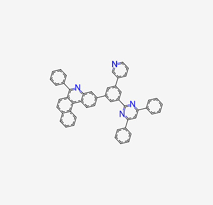 c1ccc(-c2cc(-c3ccccc3)nc(-c3cc(-c4cccnc4)cc(-c4ccc5c(c4)nc(-c4ccccc4)c4ccc6ccccc6c45)c3)n2)cc1